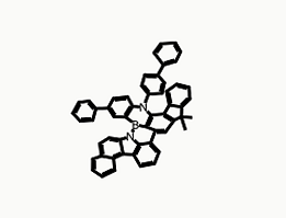 CC1(C)c2ccccc2-c2c1cc1c3c2N(c2ccc(-c4ccccc4)cc2)c2ccc(-c4ccccc4)cc2B3n2c3ccc4ccccc4c3c3cccc-1c32